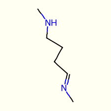 CN=CCCCNC